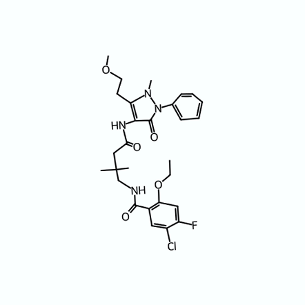 CCOc1cc(F)c(Cl)cc1C(=O)NCC(C)(C)CC(=O)Nc1c(CCOC)n(C)n(-c2ccccc2)c1=O